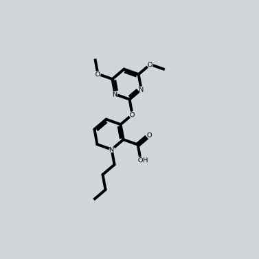 CCCCN1CC=CC(Oc2nc(OC)cc(OC)n2)=C1C(=O)O